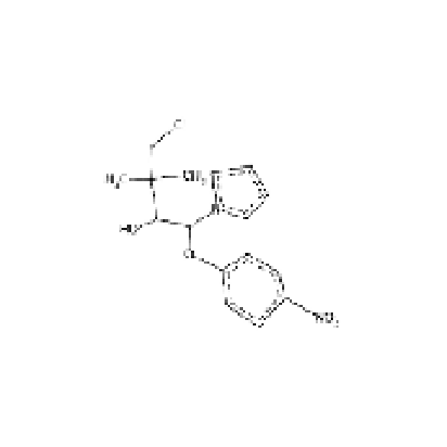 CC(C)(CCl)C(O)C(Oc1ccc([N+](=O)[O-])cc1)n1cccc1